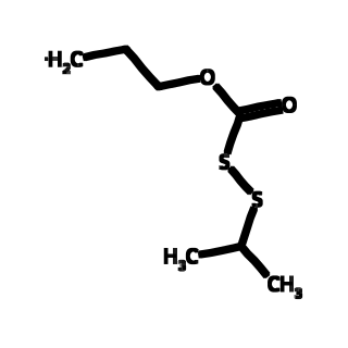 [CH2]CCOC(=O)SSC(C)C